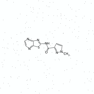 Cn1ccc(C(=O)Nc2nc3nccnc3s2)n1